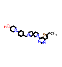 OC1CCN(c2ccc(CN3CCC4(CCN(c5ncnc6cc(CC(F)(F)F)sc56)C4)C3)cc2)CC1